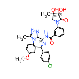 COc1ccc2c(c1)C(c1ccc(Cl)cc1)=N[C@@H](NC(=O)c1cccc(N3C[C@@](C)(O)[C@@H](O)C3=O)c1)c1nnc(C)n1-2